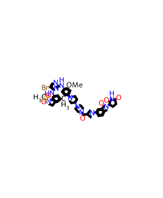 COc1cc(N2CCC(N3CCN(C(=O)C4CN(c5ccc6c(c5)C(=O)N(C5CCC(=O)NC5=O)C6)C4)CC3)CC2)c(C)cc1Nc1ncc(Br)c(Nc2cccc3c2N(S(C)(=O)=O)CC3)n1